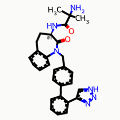 CC(C)(N)C(=O)N[C@@H]1CCc2ccccc2N(Cc2ccc(-c3ccccc3-c3c[nH]nn3)cc2)C1=O